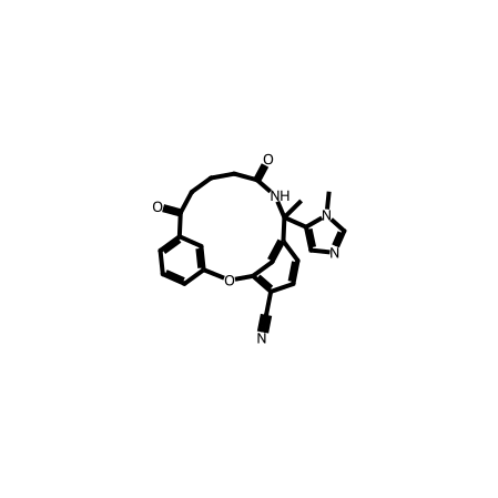 Cn1cncc1C1(C)NC(=O)CCCC(=O)c2cccc(c2)Oc2cc1ccc2C#N